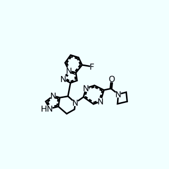 O=C(c1cnc(N2CCc3[nH]cnc3C2c2cc3c(F)cccn3n2)cn1)N1CCC1